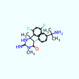 CN1C(=N)N[C@](C)(c2ccc(F)cc2F)[C@H](c2ccc(C(C)(C)N)cc2)C1=O